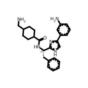 NCC1CCC(C(=O)N[C@@H](Cc2ccccc2)c2nc(-c3cccc(N)c3)c[nH]2)CC1